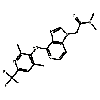 Cc1cc(C(F)(F)F)nc(C)c1Nc1nccc2c1ncn2CC(=O)N(C)C